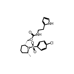 C[C@@H]1CCC[C@H](COC(=O)NCCc2ccc[nH]2)N1S(=O)(=O)c1ccc(Cl)cc1